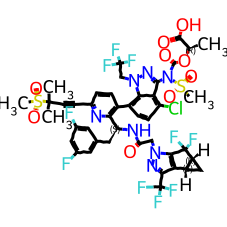 C[C@@H](OC(=O)N(c1nn(CC(F)(F)F)c2c(-c3ccc(C#CC(C)(C)S(C)(=O)=O)nc3[C@H](Cc3cc(F)cc(F)c3)NC(=O)Cn3nc(C(F)(F)F)c4c3C(F)(F)[C@@H]3C[C@H]43)ccc(Cl)c12)S(C)(=O)=O)C(=O)O